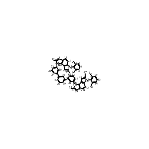 Cc1cccc(C)c1-n1c(C)cc2c1ccc1cc(C)n(-c3cccc(-c4cccc(-c5cccc(-n6c(C)cc7ccc8c(cc(C)n8-c8c(C)cccc8C)c76)c5)c4)c3)c12